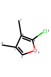 Cc1coc(Cl)c1C